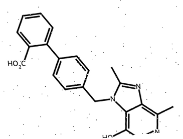 Cc1nnc(O)c2c1nc(C)n2Cc1ccc(-c2ccccc2C(=O)O)cc1